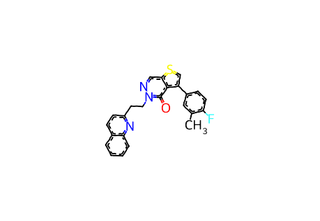 Cc1cc(-c2csc3cnn(CCc4ccc5ccccc5n4)c(=O)c23)ccc1F